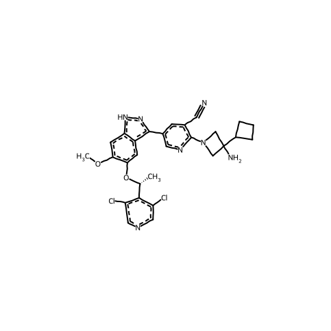 COc1cc2[nH]nc(-c3cnc(N4CC(N)(C5CCC5)C4)c(C#N)c3)c2cc1O[C@H](C)c1c(Cl)cncc1Cl